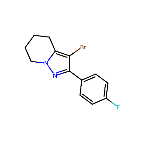 Fc1ccc(-c2nn3c(c2Br)CCCC3)cc1